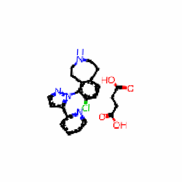 Clc1ccc2c(c1-n1nccc1-c1ccccn1)CCNCC2.O=C(O)CCC(=O)O